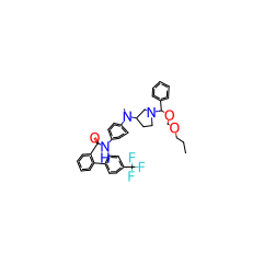 CCCOCOC(c1ccccc1)N1CCC(N(C)c2ccc(NC(=O)c3ccccc3-c3ccc(C(F)(F)F)cc3)cc2)C1